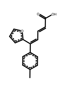 Cc1ccc(C(=CC=CC(=O)O)c2ccco2)cc1